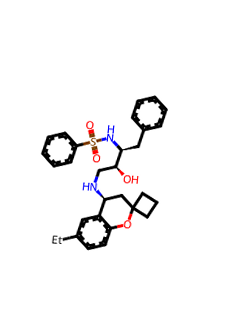 CCc1ccc2c(c1)[C@@H](NC[C@H](O)[C@H](Cc1ccccc1)NS(=O)(=O)c1ccccc1)CC1(CCC1)O2